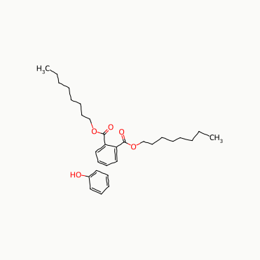 CCCCCCCCOC(=O)c1ccccc1C(=O)OCCCCCCCC.Oc1ccccc1